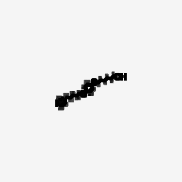 OCCCCCCOc1ccc(OCCCCCn2ccnc2)cc1